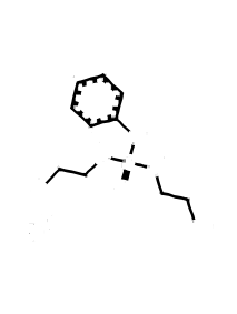 CCCCCCCCCCCCOP(=S)(OCCCCCCCCCCCC)Sc1ccccc1.[S-2].[Zn+2]